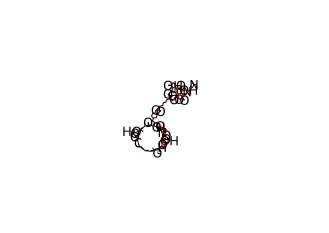 COC[C@H]1OC(=O)/C(=C/N(C)CCCN(C)C)C2=C(O)C(=O)C3=C([C@H](OC(=O)CCCCCCC(=O)OC4CCC(C[C@@H](C)[C@@H]5CC(=O)[C@H](C)/C=C(\C)[C@](C)(O)[C@@H](OC)C(=O)[C@H](C)C[C@H](C)/C=C/C=C/C=C(\C)[C@@H](OC)C[C@@H]6CC[C@@H](C)[C@@](O)(O6)C(=O)C(=O)N6CCCC[C@H]6C(=O)O5)CC4)C[C@]4(C)C(=O)CC[C@@H]34)[C@]21C